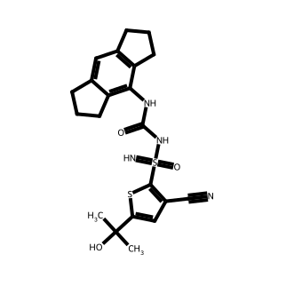 CC(C)(O)c1cc(C#N)c(S(=N)(=O)NC(=O)Nc2c3c(cc4c2CCC4)CCC3)s1